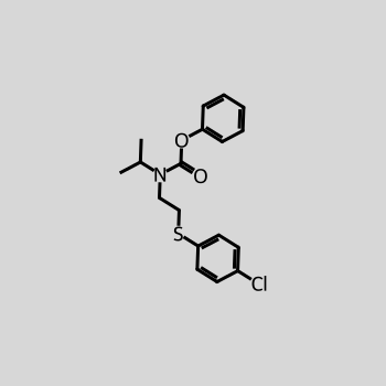 CC(C)N(CCSc1ccc(Cl)cc1)C(=O)Oc1ccccc1